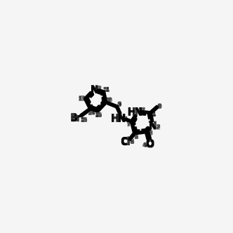 Cc1nc(=O)c(Cl)c(NCc2cncc(Br)c2)[nH]1